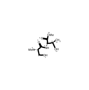 CN[C@@H](CO)C(=O)N[C@H](C(=O)OC)[C@@H](C)O